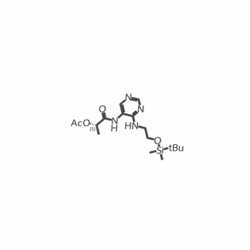 CC(=O)O[C@@H](C)C(=O)Nc1cncnc1NCCO[Si](C)(C)C(C)(C)C